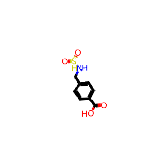 O=C(O)c1ccc(CN[SH](=O)=O)cc1